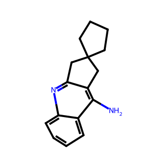 Nc1c2c(nc3ccccc13)CC1(CCCC1)C2